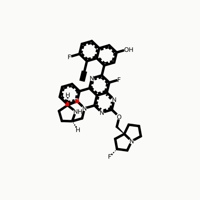 C#Cc1c(F)ccc2cc(O)cc(-c3nc(-c4ccccn4)c4c(N5C[C@H]6CC[C@@H](C5)N6)nc(OC[C@@]56CCCN5C[C@H](F)C6)nc4c3F)c12